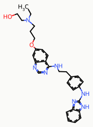 CCN(CCO)CCCOc1ccc2c(NCCc3ccc(Nc4nc5ccccc5[nH]4)cc3)ncnc2c1